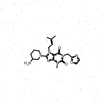 CC(C)=CCn1c(N2CCCC(N)C2)nc2c1c(=O)n(Cc1ncco1)c(=O)n2C